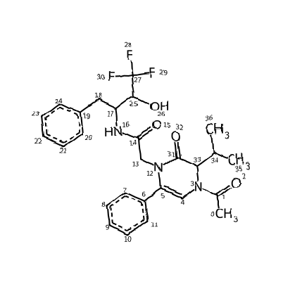 CC(=O)N1C=C(c2ccccc2)N(CC(=O)NC(Cc2ccccc2)C(O)C(F)(F)F)C(=O)C1C(C)C